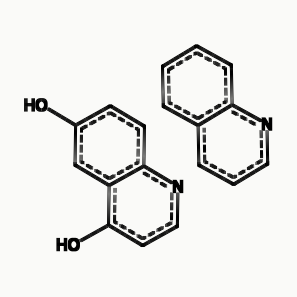 Oc1ccc2nccc(O)c2c1.c1ccc2ncccc2c1